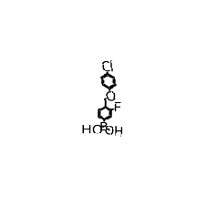 OB(O)c1ccc(COc2ccc(Cl)cc2)c(F)c1